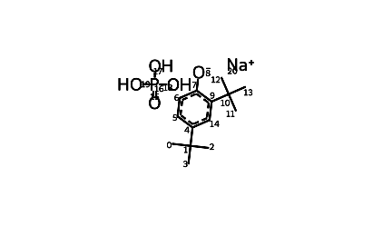 CC(C)(C)c1ccc([O-])c(C(C)(C)C)c1.O=P(O)(O)O.[Na+]